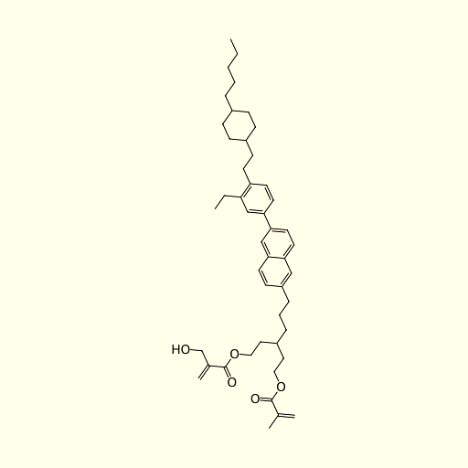 C=C(C)C(=O)OCCC(CCCc1ccc2cc(-c3ccc(CCC4CCC(CCCCC)CC4)c(CC)c3)ccc2c1)CCOC(=O)C(=C)CO